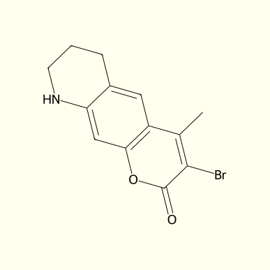 Cc1c(Br)c(=O)oc2cc3c(cc12)CCCN3